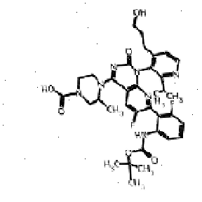 CC(C)c1nccc(CCCO)c1-n1c(=O)nc(N2CCN(C(=O)O)CC2C)c2cc(F)c(-c3c(F)cccc3NC(=O)OC(C)(C)C)nc21